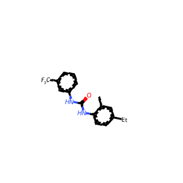 CCc1ccc(NC(=O)Nc2cccc(C(F)(F)F)c2)c(C)c1